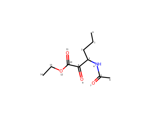 CCCC(NC(C)=O)C(=O)C(=O)OCC